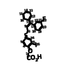 O=C(O)COc1ccc(SCC=C(c2ccccc2)c2cccc(F)c2)cc1I